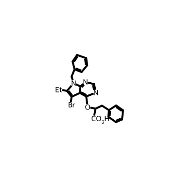 CCc1c(Br)c2c(OC(Cc3ccccc3)C(=O)O)ncnc2n1Cc1ccccc1